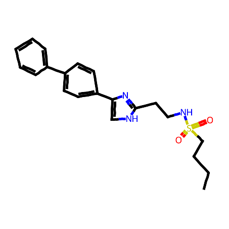 CCCCS(=O)(=O)NCCc1nc(-c2ccc(-c3ccccc3)cc2)c[nH]1